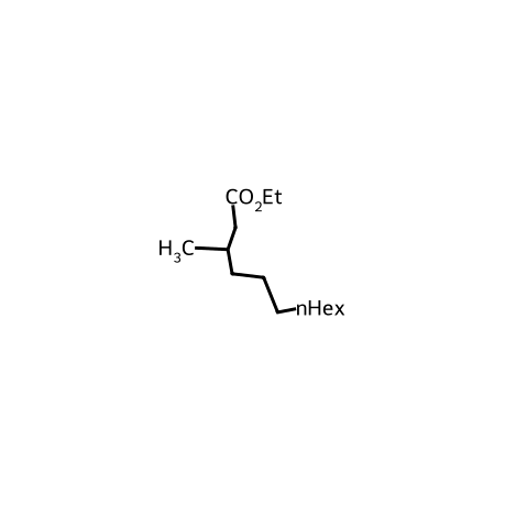 CCCCCCCCCC(C)CC(=O)OCC